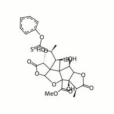 COC(=O)C12OC3OC(=O)[C@H](OC(=S)Oc4ccccc4)C3([C@@H]([C@H](C)O)C(C)(C)C)C1(C)[C@@H](O)C1OC(=O)[C@@H](C)[C@@]12O